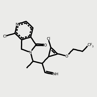 CC(C(C=N)C1C(Cl)=C1OCCC(F)(F)F)N1Cc2c(ccnc2Cl)C1=O